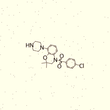 CC1(C)CN(S(=O)(=O)c2ccc(Cl)cc2)c2cccc(N3CCNCC3)c2O1